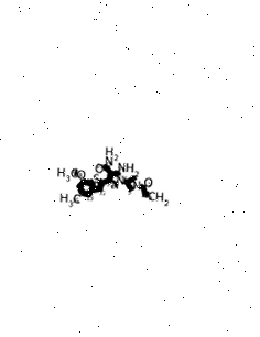 C=CC(=O)N1CC(n2nc(-c3cc4cc(C)cc(OC)c4s3)c(C(N)=O)c2N)C1